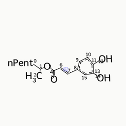 CCCCCC(C)OC(=O)/C=C/c1ccc(O)c(O)c1